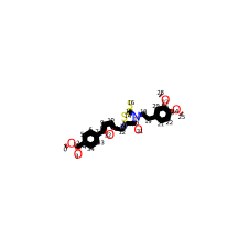 COC(=O)c1ccc(-c2ccc(/C=C3\SC(=S)N(CCc4ccc(OC)c(OC)c4)C3=O)o2)cc1